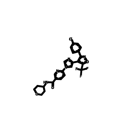 O=C(NC1CCOCC1)c1ccc(-n2cnc(-c3c(-c4ccc(Cl)cc4)noc3C(F)(F)F)c2)nc1